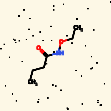 CCCC(=O)NOCC